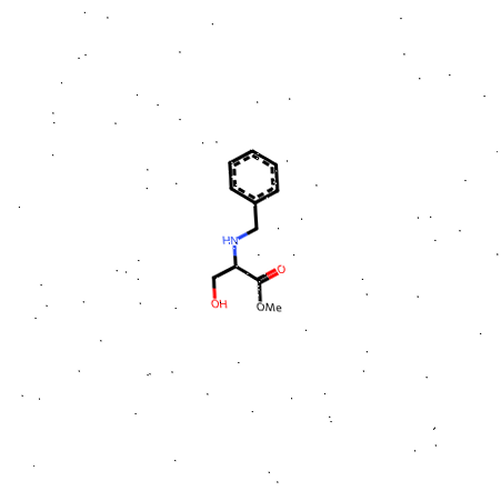 COC(=O)C(CO)NCc1ccccc1